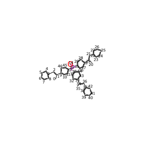 C/C(=C\c1ccccc1)c1ccc(P(=O)(c2ccc(/C(C)=C/c3ccccc3)cc2)c2ccc(/C(C)=C/c3ccccc3)cc2)cc1